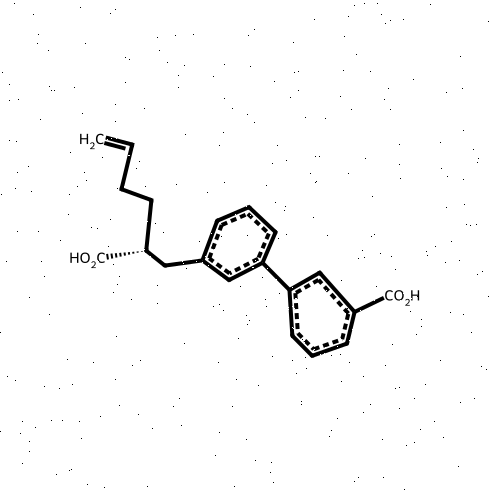 C=CCC[C@H](Cc1cccc(-c2cccc(C(=O)O)c2)c1)C(=O)O